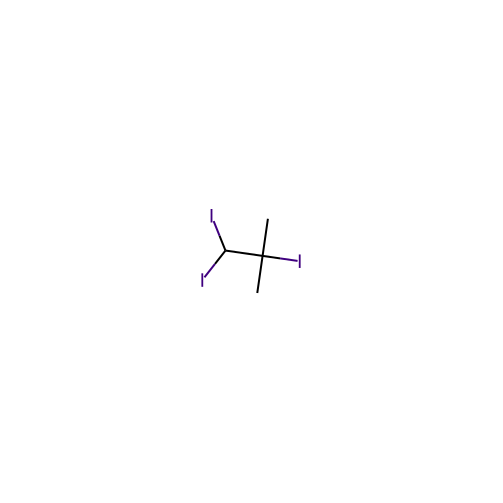 CC(C)(I)C(I)I